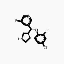 Fc1cncc([C@H](Oc2ccc(Cl)cc2Cl)[C@H]2CCNC2)c1